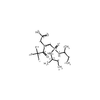 CCC(C)NP(=S)(CN(CC(=O)O)C(=O)C(F)(F)F)NC(C)CC